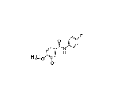 COc1ccc(C(=O)Nc2ccc(F)cc2)c[n+]1[O-]